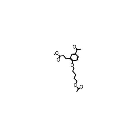 COC(=O)CCc1cc(C(C)=O)ccc1OCCCCCOC(C)=O